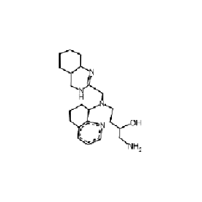 NCC(O)CCN(CC1=NC2CCCCC2CN1)C1CCCc2cccnc21